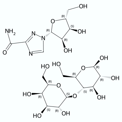 NC(=O)c1ncn([C@@H]2O[C@H](CO)[C@@H](O)[C@H]2O)n1.OC[C@H]1O[C@@H](O[C@H]2[C@H](O)[C@@H](O)[C@H](O)O[C@@H]2CO)[C@H](O)[C@@H](O)[C@H]1O